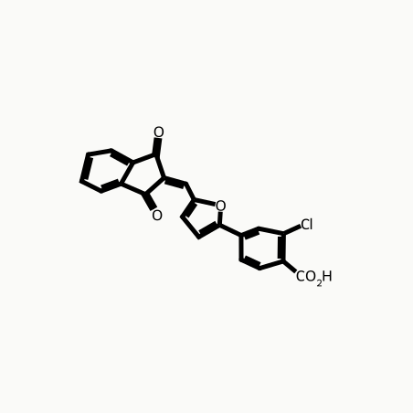 O=C(O)c1ccc(-c2ccc(C=C3C(=O)c4ccccc4C3=O)o2)cc1Cl